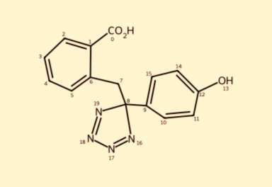 O=C(O)c1ccccc1CC1(c2ccc(O)cc2)N=NN=N1